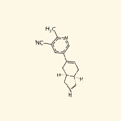 Cc1ncc(C2=CC[C@H]3CNC[C@H]3C2)cc1C#N